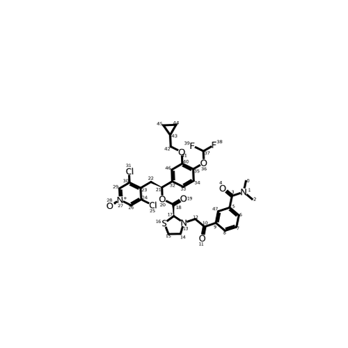 CN(C)C(=O)c1cccc(C(=O)CN2CCS[C@H]2C(=O)O[C@@H](Cc2c(Cl)c[n+]([O-])cc2Cl)c2ccc(OC(F)F)c(OCC3CC3)c2)c1